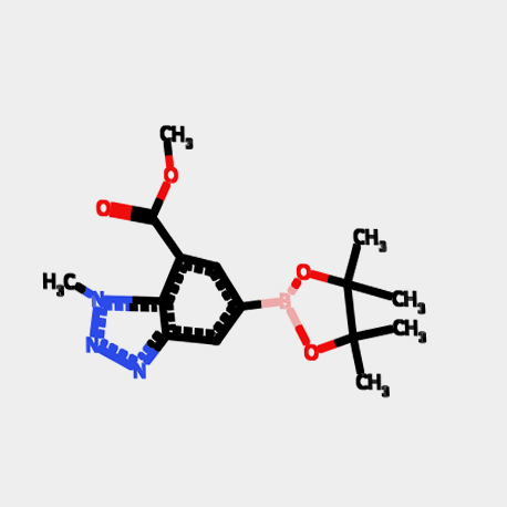 COC(=O)c1cc(B2OC(C)(C)C(C)(C)O2)cc2nnn(C)c12